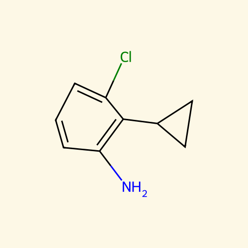 Nc1cccc(Cl)c1C1CC1